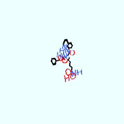 O=C(CCCCC[C@H](NC(=O)OCc1ccccc1)C(=O)Nc1cccc2cccnc12)NO